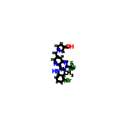 Cc1c(Br)cccc1Nc1nc(C(F)(F)F)nc2cc(CN3CC[C@@H](O)C3)cnc12